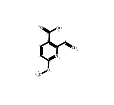 C=Cc1nc(OC)ccc1C(=O)O